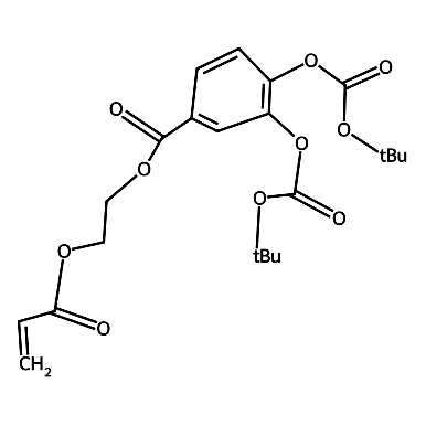 C=CC(=O)OCCOC(=O)c1ccc(OC(=O)OC(C)(C)C)c(OC(=O)OC(C)(C)C)c1